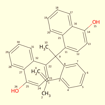 C=C(C)c1ccccc1C(C)(c1ccc(O)c2ccccc12)c1ccc(O)c2ccccc12